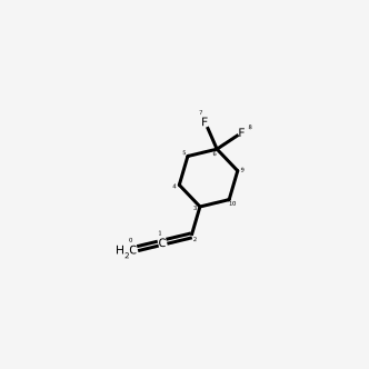 C=C=CC1CCC(F)(F)CC1